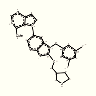 COc1ncnc2ccn(-c3cnc4nc(OCC5CCOC5)n(Cc5cc(F)cc(F)c5)c4c3)c12